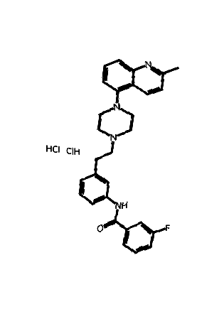 Cc1ccc2c(N3CCN(CCc4cccc(NC(=O)c5cccc(F)c5)c4)CC3)cccc2n1.Cl.Cl